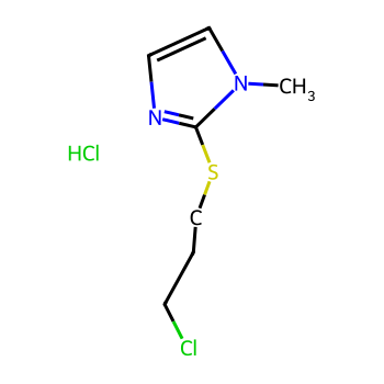 Cl.Cn1ccnc1SCCCCl